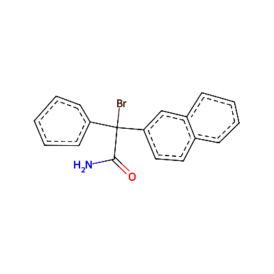 NC(=O)C(Br)(c1ccccc1)c1ccc2ccccc2c1